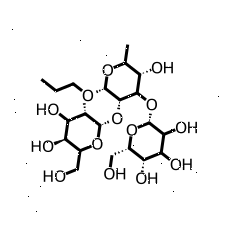 CCCO[C@@H]1OC(C)[C@H](O)C(O[C@H]2O[C@@H](CO)[C@@H](O)C(O)C2O)[C@@H]1O[C@@H]1OC(CO)[C@@H](O)C(O)[C@@H]1C